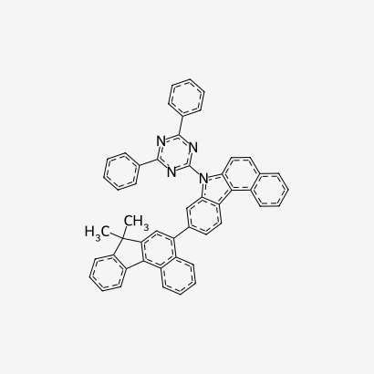 CC1(C)c2ccccc2-c2c1cc(-c1ccc3c4c5ccccc5ccc4n(-c4nc(-c5ccccc5)nc(-c5ccccc5)n4)c3c1)c1ccccc21